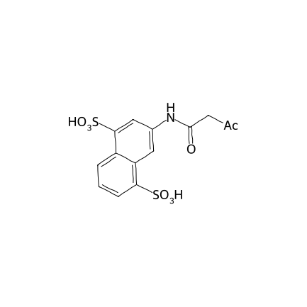 CC(=O)CC(=O)Nc1cc(S(=O)(=O)O)c2cccc(S(=O)(=O)O)c2c1